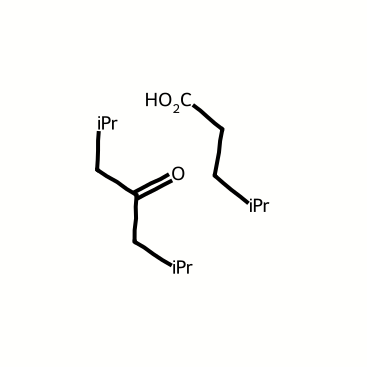 CC(C)CC(=O)CC(C)C.CC(C)CCC(=O)O